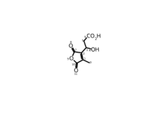 CC1=C(C(O)CC(=O)O)C(=O)OC1=O